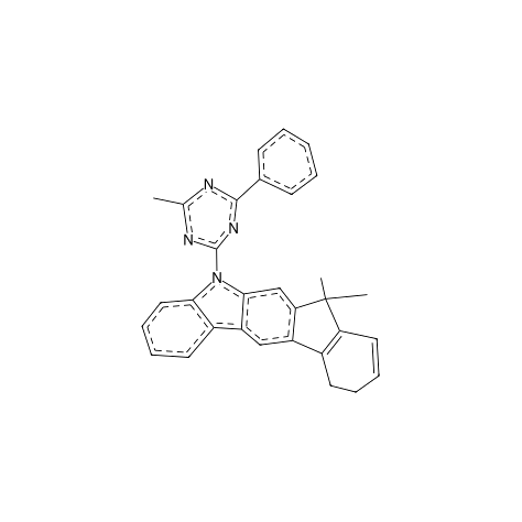 Cc1nc(-c2ccccc2)nc(-n2c3ccccc3c3cc4c(cc32)C(C)(C)C2=C4CCC=C2)n1